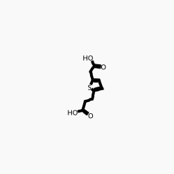 O=C(O)CCc1ccc(CC(=O)O)s1